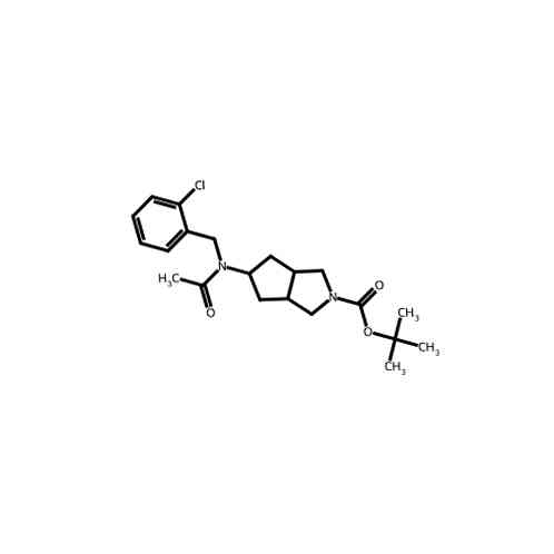 CC(=O)N(Cc1ccccc1Cl)C1CC2CN(C(=O)OC(C)(C)C)CC2C1